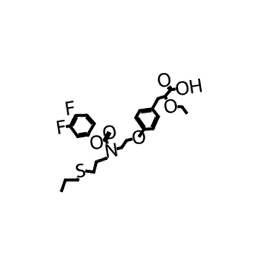 CCCSCCCN(CCOc1ccc(CC(OCC)C(=O)O)cc1)C(=O)Oc1ccc(F)c(F)c1